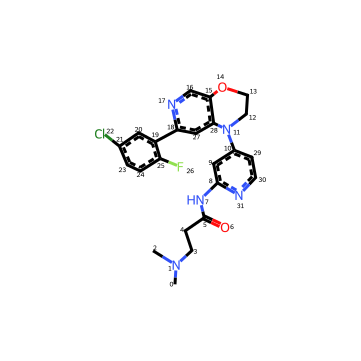 CN(C)CCC(=O)Nc1cc(N2CCOc3cnc(-c4cc(Cl)ccc4F)cc32)ccn1